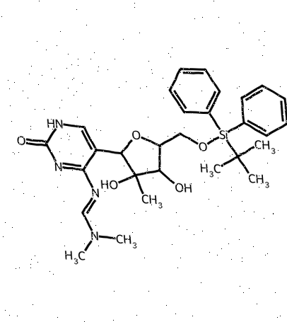 CN(C)C=Nc1nc(=O)[nH]cc1C1OC(CO[Si](c2ccccc2)(c2ccccc2)C(C)(C)C)C(O)C1(C)O